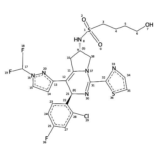 O=S(=O)(CCCCO)N[C@H]1CC2=C(c3ccn(C(F)F)n3)[C@H](c3ccc(F)cc3Cl)N=C(c3nccs3)N2C1